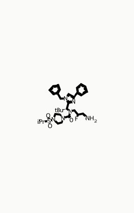 CC(C)S(=O)(=O)N1CCN(C(=O)N(CC(F)CN)[C@@H](c2nc(-c3ccccc3)cn2Cc2ccccc2)C(C)(C)C)CC1